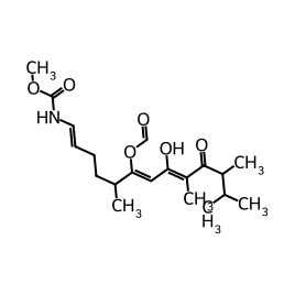 COC(=O)N/C=C/CCC(C)/C(=C/C(O)=C(\C)C(=O)C(C)C(C)C)OC=O